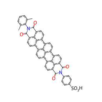 Cc1cccc(C)c1N1C(=O)c2ccc3c4ccc5c6ccc7c8c(ccc(c9ccc(c%10ccc(c2c3%10)C1=O)c4c59)c86)C(=O)N(c1ccc(S(=O)(=O)O)cc1)C7=O